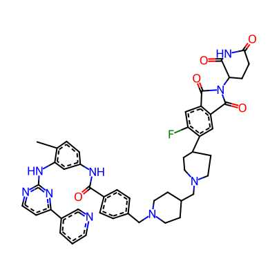 Cc1ccc(NC(=O)c2ccc(CN3CCC(CN4CCC(c5cc6c(cc5F)C(=O)N(C5CCC(=O)NC5=O)C6=O)CC4)CC3)cc2)cc1Nc1nccc(-c2cccnc2)n1